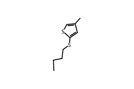 CCCCSc1cc(C)cs1